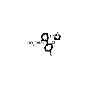 O=C(O)Nc1ccccc1-c1ccc(Cl)cc1Cl.c1cn[nH]c1